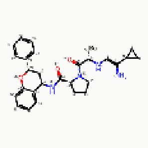 CC(C)(C)[C@H](N/C=C(\N)C1CC1)C(=O)N1CCC[C@H]1C(=O)NC1C[C@@H](c2ccccc2)Oc2ccccc21